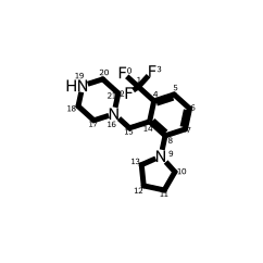 FC(F)(F)c1cccc(N2CCCC2)c1CN1CCNCC1